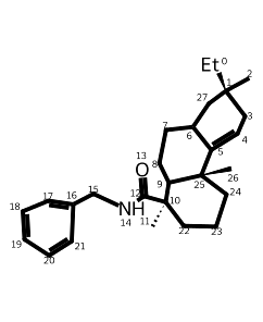 CC[C@@]1(C)CC=C2C(CCC3[C@](C)(C(=O)NCc4ccccc4)CCC[C@@]23C)C1